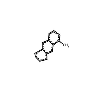 Cc1cccc2cc3ccccc3cc12